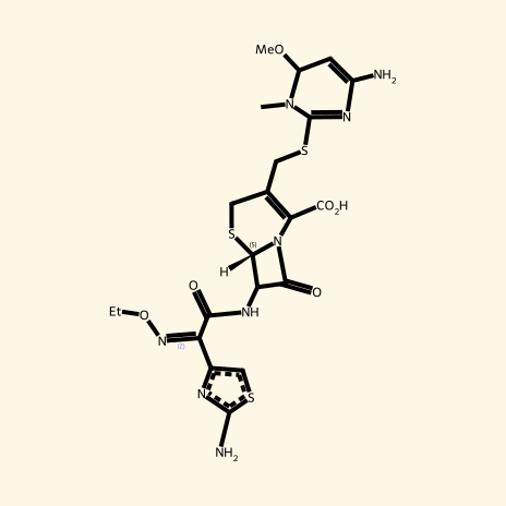 CCO/N=C(\C(=O)NC1C(=O)N2C(C(=O)O)=C(CSC3=NC(N)=CC(OC)N3C)CS[C@@H]12)c1csc(N)n1